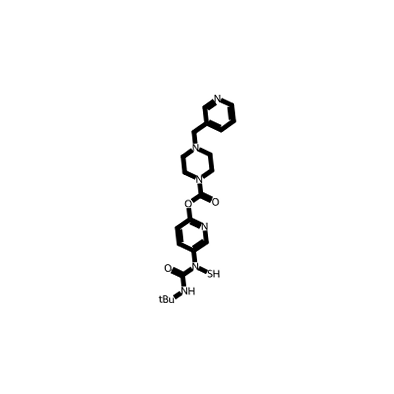 CC(C)(C)NC(=O)N(S)c1ccc(OC(=O)N2CCN(Cc3cccnc3)CC2)nc1